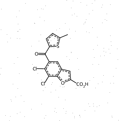 Cc1ccc(C(=O)c2cc3cc(C(=O)O)oc3c(Cl)c2Cl)s1